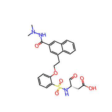 CN(C)NC(=O)c1cc(CCOc2ccccc2S(=O)(=O)N[C@H](C=O)CC(=O)O)c2ccccc2c1